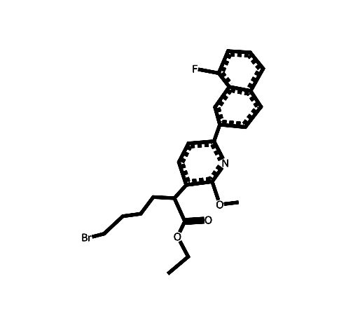 CCOC(=O)C(CCCCBr)c1ccc(-c2ccc3cccc(F)c3c2)nc1OC